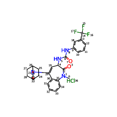 CN1C(=O)C(NC(=O)Nc2cccc(C(F)(F)F)c2)C=C(N2CC3CCC(CC3)C2)c2ccccc21.Cl